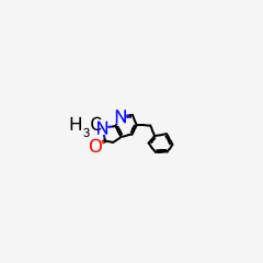 CN1C(=O)Cc2cc(Cc3ccccc3)cnc21